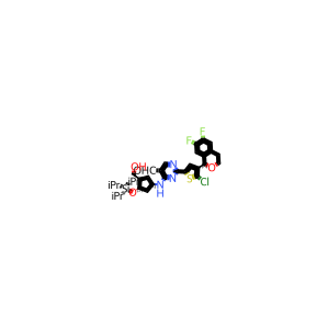 CC(C)[Si](O[C@H]1C[C@H](Nc2nc(-c3cc([C@@H]4OCCc5cc(F)c(F)cc54)c(Cl)s3)ncc2C=O)C[C@@H]1CO)(C(C)C)C(C)C